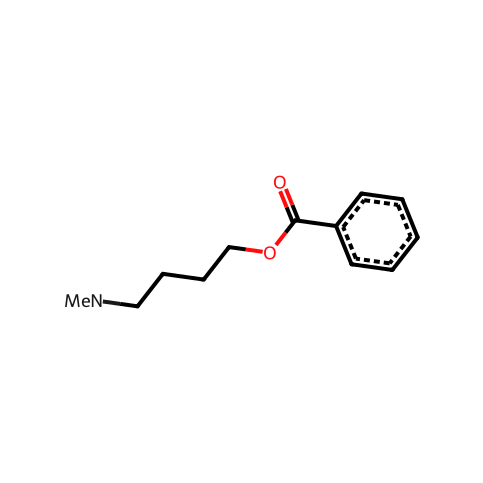 CNCCCCOC(=O)c1ccccc1